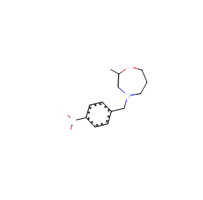 CC1CN(Cc2ccc(B(O)O)cc2)CCCO1